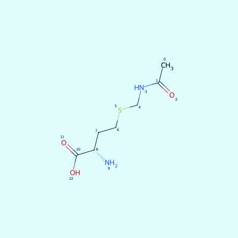 CC(=O)NCSCC[C@H](N)C(=O)O